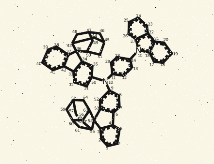 c1ccc2c(c1)-c1ccc(N(c3ccc(-n4c5ccccc5c5ccccc54)cc3)c3ccc4c(c3)C3(c5ccccc5-4)C4CC5CC(C4)CC3C5)cc1C21C2CCC3CC(C2)CC1C3